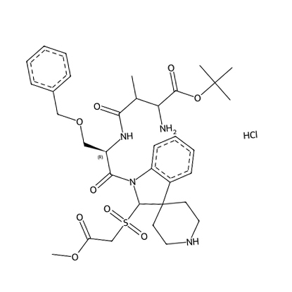 COC(=O)CS(=O)(=O)C1N(C(=O)[C@@H](COCc2ccccc2)NC(=O)C(C)C(N)C(=O)OC(C)(C)C)c2ccccc2C12CCNCC2.Cl